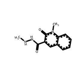 CNNC(=O)c1cc2ccccc2n(C)c1=O